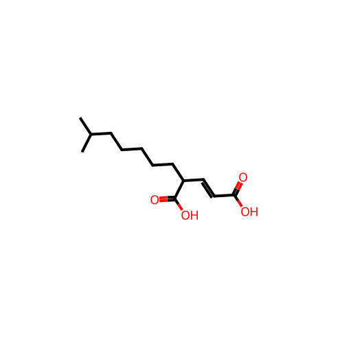 CC(C)CCCCCC(C=CC(=O)O)C(=O)O